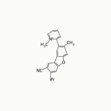 Cc1cc2oc3cc(C(C)C)c(C#N)cc3c2cc1-c1cccc[n+]1C